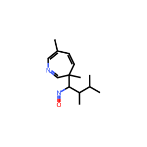 CC1=CN=CC(C)(C(N=O)C(C)C(C)C)C=C1